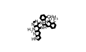 Cc1ccccc1-n1c(CNc2ncnc(N)c2C(=N)c2cnc3[nH]ccc3c2)cc2cccc(C)c2c1=O